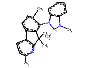 Cc1ccc2c(n1)C(C)(C)c1c-2ccc(C)c1N1c2ccccc2N(C)[C@@H]1C